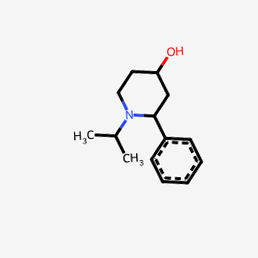 CC(C)N1CCC(O)CC1c1ccccc1